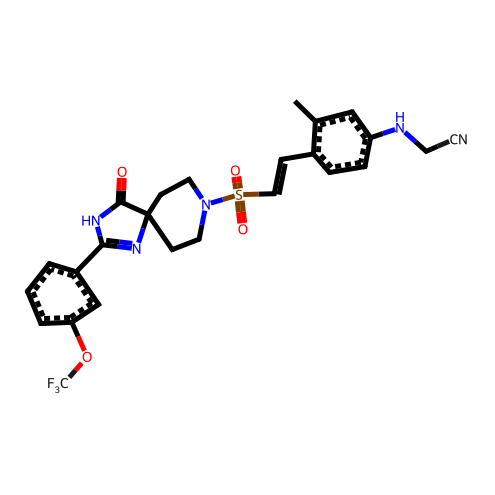 Cc1cc(NCC#N)ccc1/C=C/S(=O)(=O)N1CCC2(CC1)N=C(c1cccc(OC(F)(F)F)c1)NC2=O